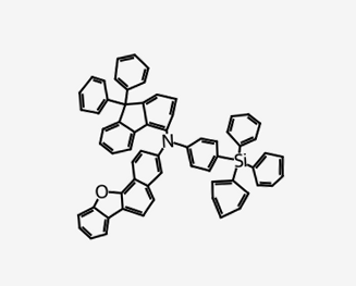 c1ccc(C2(c3ccccc3)c3ccccc3-c3c(N(c4ccc([Si](c5ccccc5)(c5ccccc5)c5ccccc5)cc4)c4ccc5c(ccc6c7ccccc7oc56)c4)cccc32)cc1